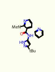 CNc1ncccc1C(=O)Nc1cc(C(C)(C)C)n[nH]1.c1ccncc1